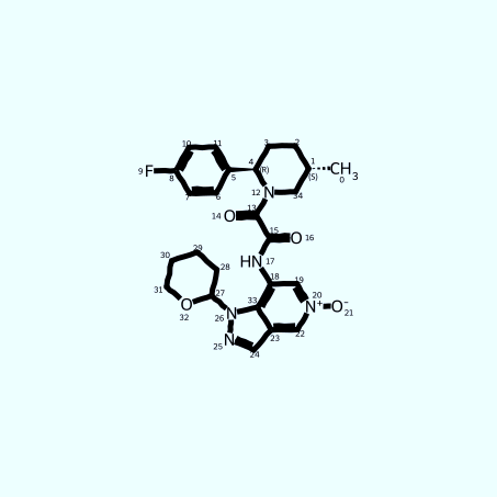 C[C@H]1CC[C@H](c2ccc(F)cc2)N(C(=O)C(=O)Nc2c[n+]([O-])cc3cnn(C4CCCCO4)c23)C1